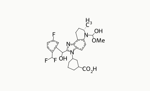 COC(O)N1c2ccc3c(nc(C(O)c4cc(F)ccc4C(F)F)n3C3CCCC(C(=O)O)C3)c2CC[C@@H]1C